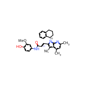 COc1cc(NC(=O)/C=C/c2c(C#N)c3c(C)cc(C)nc3n2[C@H]2CCCc3ccccc32)ccc1O